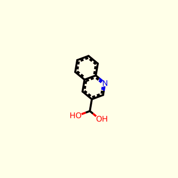 OC(O)c1cnc2ccccc2c1